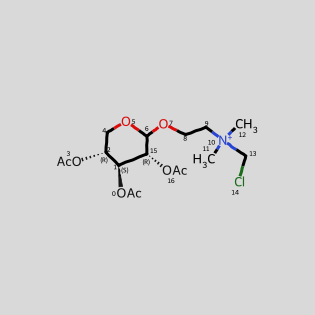 CC(=O)O[C@H]1[C@H](OC(C)=O)COC(OCC[N+](C)(C)CCl)[C@@H]1OC(C)=O